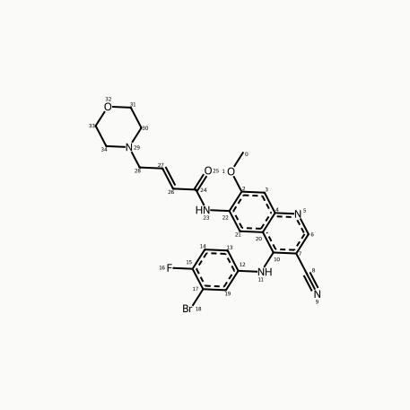 COc1cc2ncc(C#N)c(Nc3ccc(F)c(Br)c3)c2cc1NC(=O)C=CCN1CCOCC1